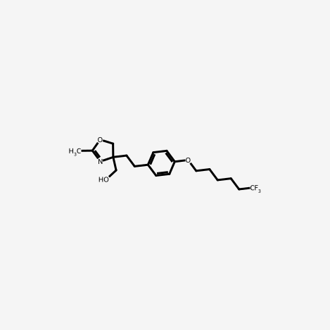 CC1=NC(CO)(CCc2ccc(OCCCCCC(F)(F)F)cc2)CO1